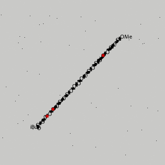 CCC(C)C(=O)OCCOCCOCCOCCOCCOCCOCCOCCOCCOCCOCCOCCOCCOCCOCCOCCOCCOCCOCCOCCOCCOCCOCCOC